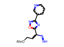 COC/C=C(/N=N)c1nc(-c2cccnc2)no1